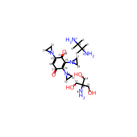 CC(C)(N)C(C)(C)N.NC(CO)(CO)CO.O=C1C=C(N2CC2)C(=O)C(N2CC2)=C1N1CC1